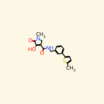 Cc1ccc(-c2cccc(CNC(=O)C3=C(O)C(=O)N(C)C3)c2)s1